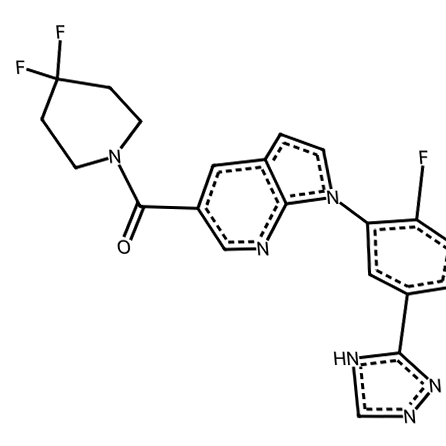 O=C(c1cnc2c(ccn2-c2cc(-c3nnc[nH]3)ccc2F)c1)N1CCC(F)(F)CC1